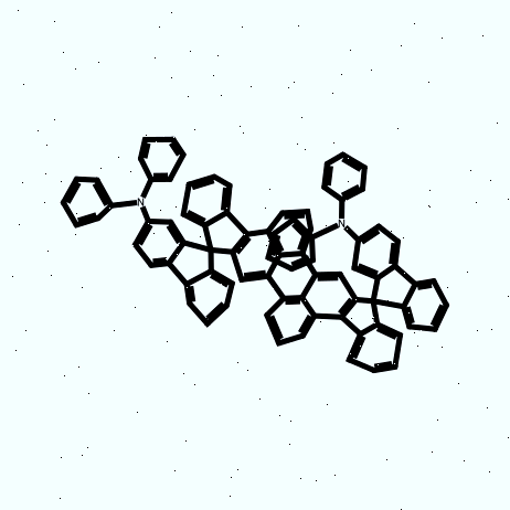 c1ccc(N(c2ccccc2)c2ccc3c(c2)C2(c4ccccc4-3)c3ccccc3-c3c2cc2c4cccc5c6c(cc(c7cccc3c72)c54)C2(c3ccccc3-c3ccc(N(c4ccccc4)c4ccccc4)cc32)c2ccccc2-6)cc1